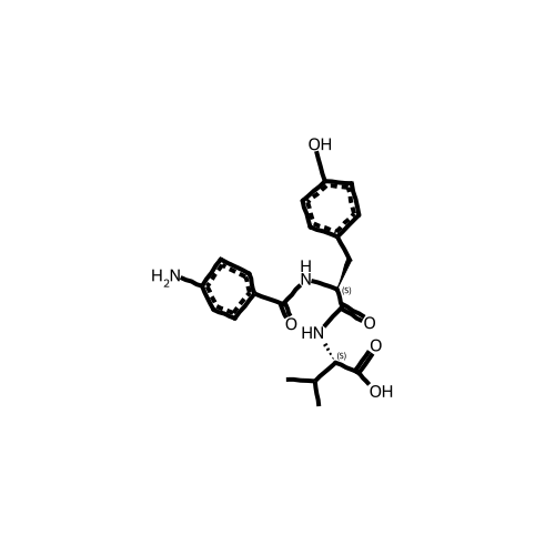 CC(C)[C@H](NC(=O)[C@H](Cc1ccc(O)cc1)NC(=O)c1ccc(N)cc1)C(=O)O